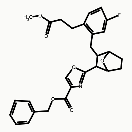 COC(=O)CCc1ccc(F)cc1CC1C2CCC(O2)C1c1nc(C(=O)OCc2ccccc2)co1